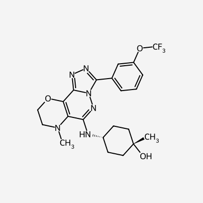 CN1CCOc2c1c(N[C@H]1CC[C@@](C)(O)CC1)nn1c(-c3cccc(OC(F)(F)F)c3)nnc21